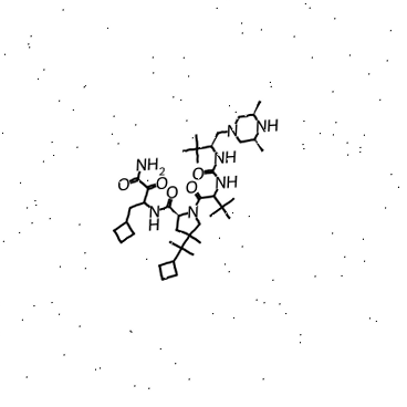 C[C@@H]1CN(C[C@@H](NC(=O)NC(C(=O)N2CC(C)(C(C)(C)C3CCC3)C[C@H]2C(=O)NC(CC2CCC2)C(=O)C(N)=O)C(C)(C)C)C(C)(C)C)C[C@H](C)N1